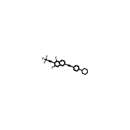 Fc1cc2cc(C#Cc3ccc(C4CCCCC4)cc3)ccc2c(F)c1C#CC(F)(F)F